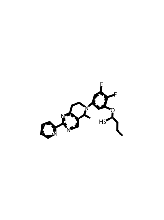 CCCC(S)Oc1cc(N2CCc3nc(-c4ccccn4)ncc3C2C)cc(F)c1F